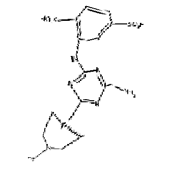 CCN1CCN(c2nc(N)nc(Nc3cc(S(=O)(=O)O)ccc3S(=O)(=O)O)n2)CC1